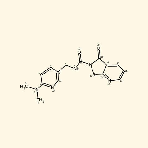 CN(C)c1ccc(CNC(=O)n2sc3ncccc3c2=O)cn1